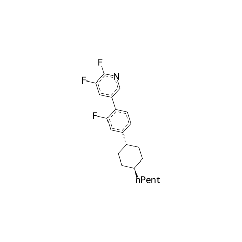 CCCCC[C@H]1CC[C@H](c2ccc(-c3cnc(F)c(F)c3)c(F)c2)CC1